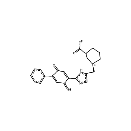 CCCC(=O)N1CCC[C@@H](Cc2cnc(C3=CC(=O)C(c4ccccc4)=CC3=N)[nH]2)C1